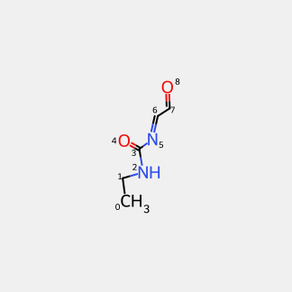 CCNC(=O)N=CC=O